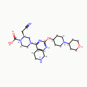 N#CC[C@H]1CN(c2nc(OC3CCN(C4CCOCC4)CC3)nc3c2CCNC3)CCN1C(=O)O